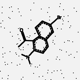 CC(=O)c1c(N(C)C)ccc2cc(Br)ccc12